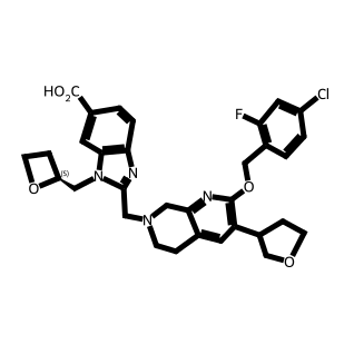 O=C(O)c1ccc2nc(CN3CCc4cc(C5CCOC5)c(OCc5ccc(Cl)cc5F)nc4C3)n(C[C@@H]3CCO3)c2c1